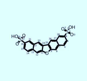 O=S(=O)(O)c1ccc2cc3oc4cc5ccc(S(=O)(=O)O)cc5cc4c3cc2c1